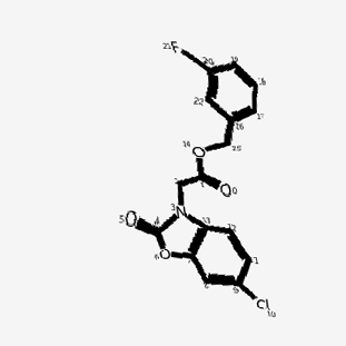 O=C(Cn1c(=O)oc2cc(Cl)ccc21)OCc1cccc(F)c1